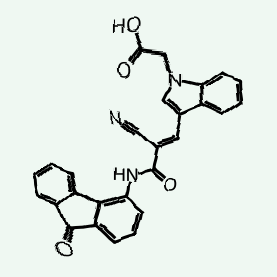 N#CC(=Cc1cn(CC(=O)O)c2ccccc12)C(=O)Nc1cccc2c1-c1ccccc1C2=O